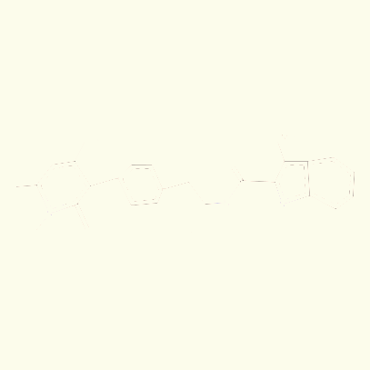 COc1c(C(=O)N[C@@H](Cc2ccc(-c3c(C(F)(F)F)cc(C)n(C)c3=O)cc2)C(=O)O)[nH]c2ccccc12